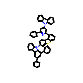 c1ccc(-c2cc(-c3ccccc3)c3c(c2)c2ccccc2n3-c2ccc3c(c2)sc2cccc(-c4cc(-n5c6ccccc6c6ccccc65)cc(-c5ccccc5)n4)c23)cc1